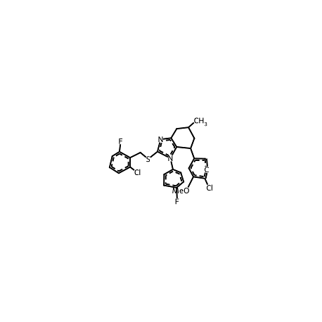 COc1cc(C2CC(C)Cc3nc(SCc4c(F)cccc4Cl)n(-c4ccc(F)cc4)c32)ccc1Cl